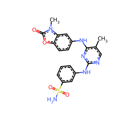 Cc1cnc(Nc2cccc(S(N)(=O)=O)c2)nc1Nc1ccc2oc(=O)n(C)c2c1